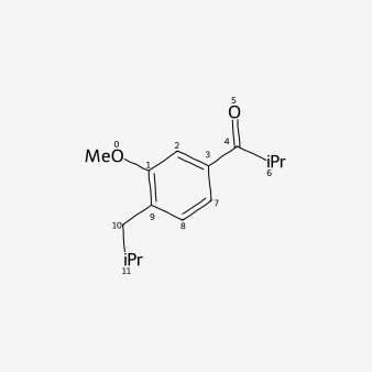 COc1cc(C(=O)C(C)C)ccc1CC(C)C